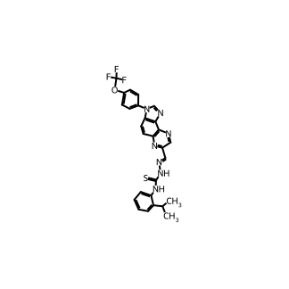 CC(C)c1ccccc1NC(=S)NN=Cc1cnc2c(ccc3c2ncn3-c2ccc(OC(F)(F)F)cc2)n1